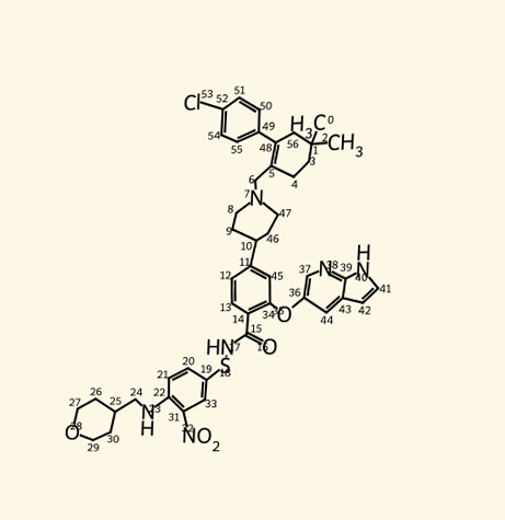 CC1(C)CCC(CN2CCC(c3ccc(C(=O)NSc4ccc(NCC5CCOCC5)c([N+](=O)[O-])c4)c(Oc4cnc5[nH]ccc5c4)c3)CC2)=C(c2ccc(Cl)cc2)C1